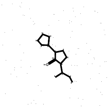 CCC(C)C1CCC(C2CCCC2)C1=O